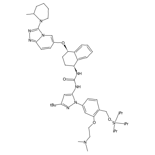 CC1CCCCN1c1nnc2ccc(O[C@@H]3CC[C@H](NC(=O)Nc4cc(C(C)(C)C)nn4-c4ccc(CO[Si](C(C)C)(C(C)C)C(C)C)c(OCCN(C)C)c4)c4ccccc43)cn12